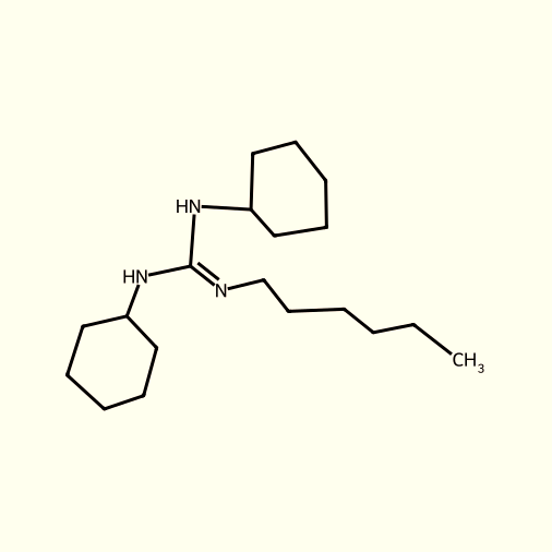 CCCCCCN=C(NC1CCCCC1)NC1CCCCC1